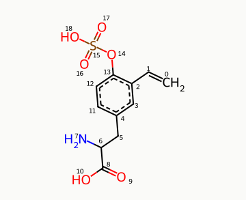 C=Cc1cc(CC(N)C(=O)O)ccc1OS(=O)(=O)O